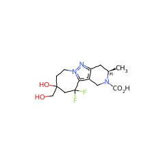 C[C@@H]1Cc2nn3c(c2CN1C(=O)O)C(F)(F)CC(O)(CO)CC3